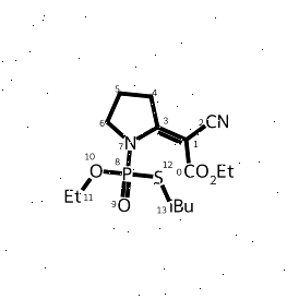 CCOC(=O)C(C#N)=C1CCCN1P(=O)(OCC)SC(C)CC